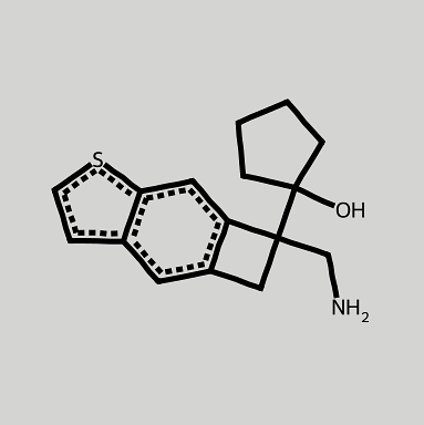 NCC1(C2(O)CCCC2)Cc2cc3ccsc3cc21